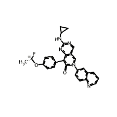 C[C@H](F)Oc1ccc(-c2c(=O)n(-c3ccc4ncccc4c3)cc3cnc(NC4CC4)nc23)cc1